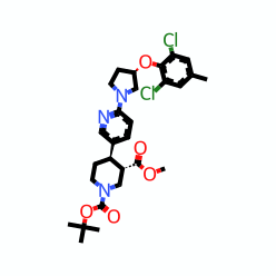 COC(=O)[C@@H]1CN(C(=O)OC(C)(C)C)CC[C@H]1c1ccc(N2CC[C@H](Oc3c(Cl)cc(C)cc3Cl)C2)nc1